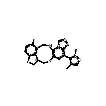 Cc1cnn(C)c1-c1cc2c(n3cnnc13)NCc1c(F)ccc3c1[C@H](CO3)CO2